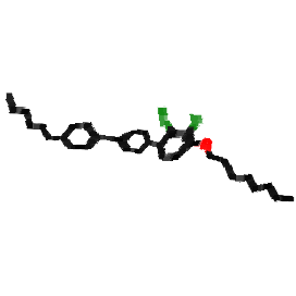 CCCCCCCCOc1ccc(C2CCC(C3CCC(CCCCCC)CC3)CC2)c(F)c1F